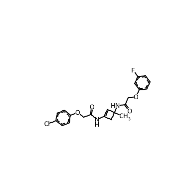 CC1(NC(=O)COc2cccc(F)c2)C=C(NC(=O)COc2ccc(Cl)cc2)C1